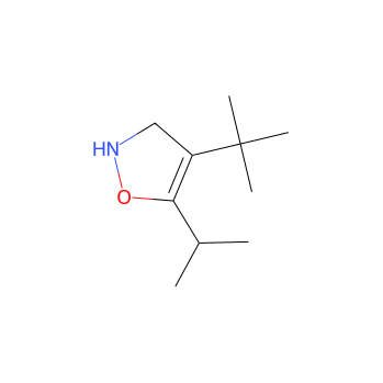 CC(C)C1=C(C(C)(C)C)CNO1